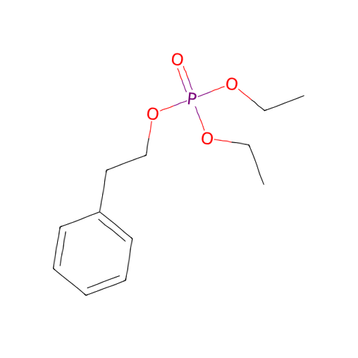 CCOP(=O)(OCC)OCCc1ccccc1